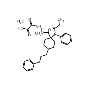 CCC(=O)N(c1ccccc1)C1(C(=O)O)CCN(CCCc2ccccc2)CC1.O.O=C(O)C(=O)O.[CH3]